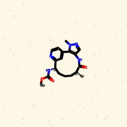 CC[C@@H]1CCC[C@H](NC(=O)OC(C)(C)C)c2cc(ccn2)-c2c(cnn2C)NC1=O